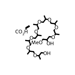 C=CC(=O)O.COCC(O)COC(C)COC(C)COC(C)COC(C)COC(C)COC(C)COC(C)COC(C)CO